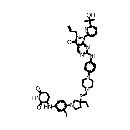 C=CCn1c(=O)c2cnc(Nc3ccc(N4CCN(CSC5(CC)CCN(c6ccc(NC7CCC(=O)NC7=O)cc6F)C5)CC4)cc3)nc2n1-c1cccc(C(C)(C)O)n1